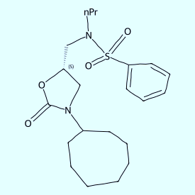 CCCN(C[C@@H]1CN(C2CCCCCCC2)C(=O)O1)S(=O)(=O)c1ccccc1